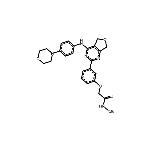 CC(C)(C)NC(=O)COc1cccc(-c2nc3c(c(Nc4ccc(N5CCOCC5)cc4)n2)COC3)c1